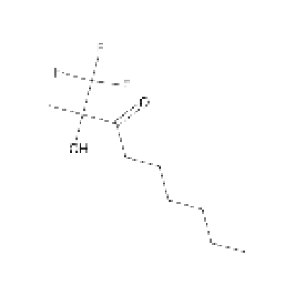 CCCCCCC(=O)C(C)(O)C(F)(F)F